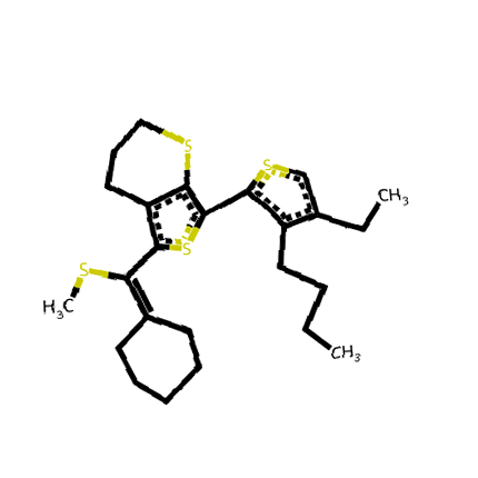 CCCCc1c(CC)csc1-c1sc(C(SC)=C2CCCCC2)c2c1SCCC2